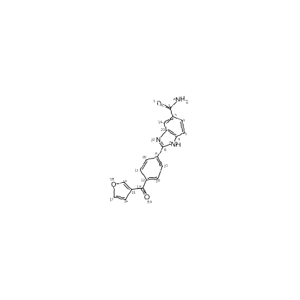 NC(=O)c1ccc2[nH]c(-c3ccc(C(=O)c4ccoc4)cc3)nc2c1